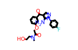 CN(CCO)C(=O)COc1cccc(C(=O)c2cnn(-c3ccc(F)cc3)c2N)c1